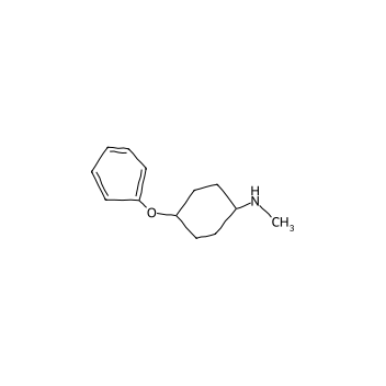 CNC1CCC(Oc2ccccc2)CC1